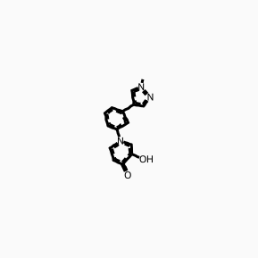 Cn1cc(-c2cccc(-n3ccc(=O)c(O)c3)c2)cn1